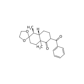 C[C@H]1[C@@H]2CCC(C(=O)c3ccccc3)C(=O)C2(C)CCC12OCCO2